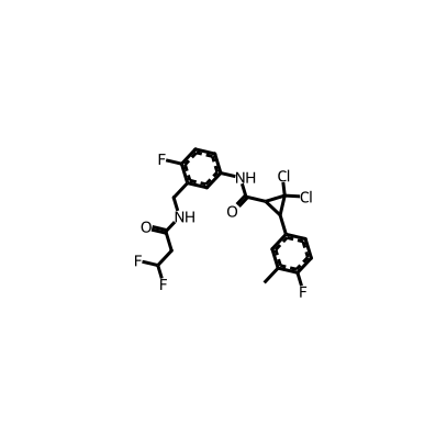 Cc1cc(C2C(C(=O)Nc3ccc(F)c(CNC(=O)CC(F)F)c3)C2(Cl)Cl)ccc1F